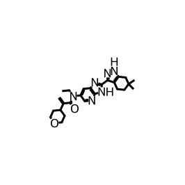 C=C(C(=O)N(CC)c1cnc2[nH]c(-c3n[nH]c4c3CCC(C)(C)C4)nc2c1)C1CCOCC1